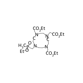 CCOC(=O)CN1CCN(CC(=O)OCC)CCN(CP(C)(=O)OCC)CCN(CC(=O)OCC)CC1